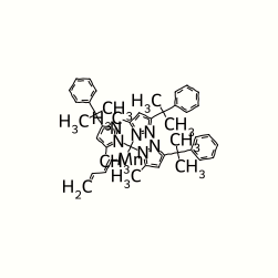 C=CC=[CH][Mn][C](n1nc(C(C)(C)c2ccccc2)cc1C)(n1nc(C(C)(C)c2ccccc2)cc1C)n1nc(C(C)(C)c2ccccc2)cc1C